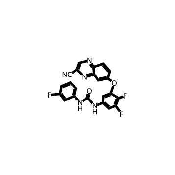 N#Cc1cnc2ccc(Oc3cc(NC(=O)Nc4cccc(F)c4)cc(F)c3F)cc2n1